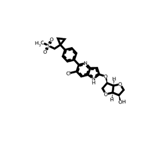 CS(=O)(=O)CC1(c2ccc(-c3nc4cc(O[C@@H]5CO[C@H]6[C@@H]5OC[C@H]6O)[nH]c4cc3Cl)cc2)CC1